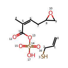 C=CCS.CC(=CCC1CO1)C(=O)OS(=O)(=O)O